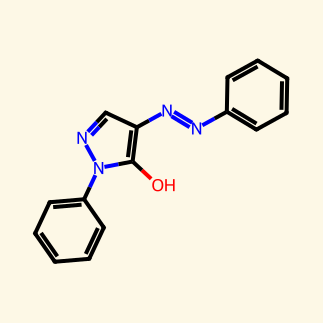 Oc1c(N=Nc2ccccc2)cnn1-c1ccccc1